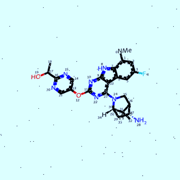 CNc1cc(F)cc2c1[nH]c1nc(Oc3cnc(C(C)O)nc3)nc(N3CC4[C@H](N)C[C@H]3[C@@H]4C)c12